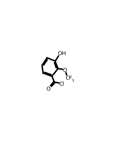 O=C(Cl)c1cccc(O)c1OC(F)(F)F